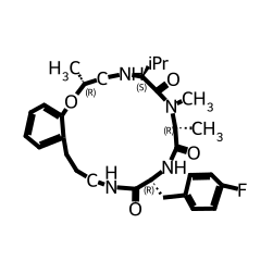 CC(C)[C@@H]1NC[C@@H](C)Oc2ccccc2CCCNC(=O)[C@@H](Cc2ccc(F)cc2)NC(=O)[C@@H](C)N(C)C1=O